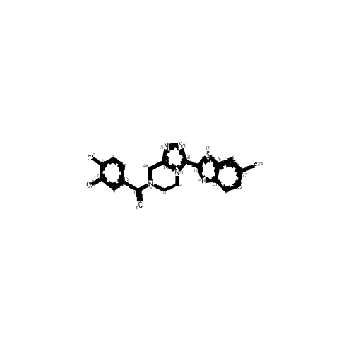 O=C(c1ccc(Cl)c(Cl)c1)N1CCn2c(nnc2-c2nc3ccc(F)cc3s2)C1